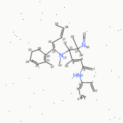 C=CC(=CC(C)C)NC(=C)/C=C(\C)C(C)(N(C)/C(=C\C=C/C)C1=C(C)C=CCC1)C(C)(C)N=C